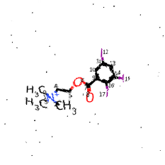 C[N+](C)(C)CCOC(=O)c1cc(I)cc(I)c1I